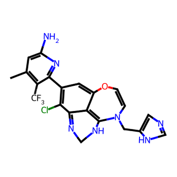 Cc1cc(N)nc(-c2cc3c4c(c2Cl)=NCNC=4N(Cc2cnc[nH]2)C=CO3)c1C(F)(F)F